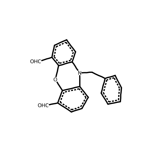 O=Cc1cccc2c1Oc1c(C=O)cccc1N2Cc1ccccc1